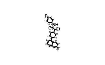 CCC(C(=O)Nc1ccc(F)cc1)C1CCC(c2ccnc3cc(F)ccc23)CC1